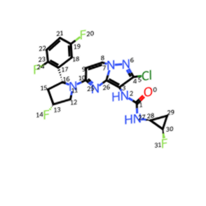 O=C(Nc1c(Cl)nn2ccc(N3C[C@H](F)C[C@@H]3c3cc(F)ccc3F)nc12)N[C@H]1C[C@H]1F